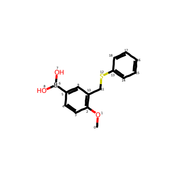 COc1ccc(B(O)O)cc1CSc1ccccc1